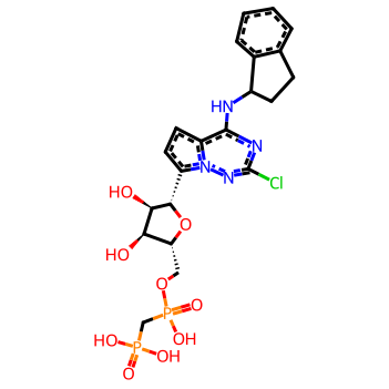 O=P(O)(O)CP(=O)(O)OC[C@H]1O[C@@H](c2ccc3c(NC4CCc5ccccc54)nc(Cl)nn23)[C@H](O)[C@@H]1O